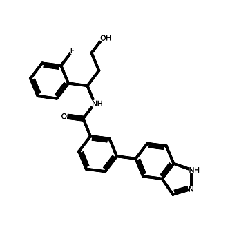 O=C(NC(CCO)c1ccccc1F)c1cccc(-c2ccc3[nH]ncc3c2)c1